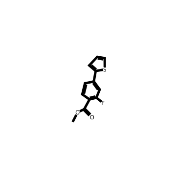 COC(=O)c1ccc(-c2cccs2)cc1F